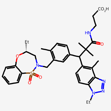 CC[C@@H]1CN(Cc2cc(C(c3ccc4c(nnn4CC)c3C)C(C)(C)C(=O)NCCC(=O)O)ccc2C)S(=O)(=O)c2ccccc2O1